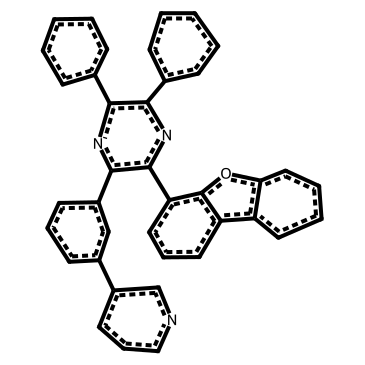 c1ccc(-c2nc(-c3cccc(-c4cccnc4)c3)c(-c3cccc4c3oc3ccccc34)nc2-c2ccccc2)cc1